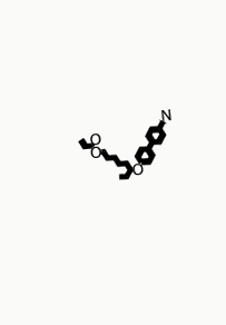 C=CC(=O)OCCCCCC(CC)Oc1ccc(-c2ccc(C#N)cc2)cc1